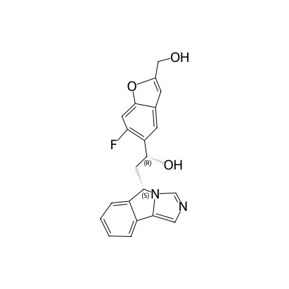 OCc1cc2cc([C@H](O)C[C@H]3c4ccccc4-c4cncn43)c(F)cc2o1